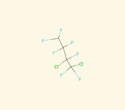 FC(F)C(F)(F)C(F)(Cl)C(F)(F)Cl